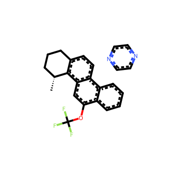 C[C@@H]1CCCc2ccc3c(cc(OC(F)(F)F)c4ccccc43)c21.c1cnccn1